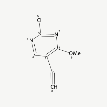 C#Cc1cnc(Cl)nc1OC